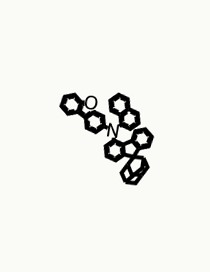 c1ccc2c(c1)-c1c(N(c3ccc4c(c3)oc3ccccc34)c3cccc4ccccc34)cccc1C21C2CC3CC(C2)CC1C3